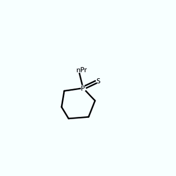 CCCP1(=S)CCCCC1